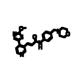 COc1ncc(-c2ccncc2/C=C/C(=O)Nc2ccc(CN3CCOCC3)cc2)s1